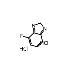 Cl.Cl.Fc1cccc2c1=NCN=2